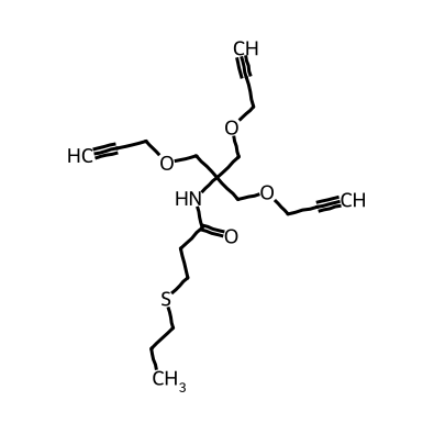 C#CCOCC(COCC#C)(COCC#C)NC(=O)CCSCCC